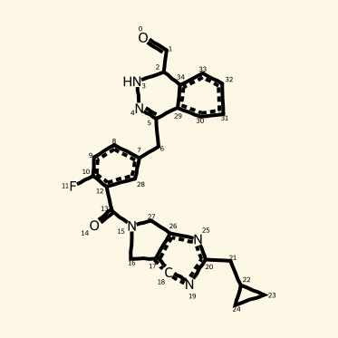 O=CC1NN=C(Cc2ccc(F)c(C(=O)N3Cc4cnc(CC5CC5)nc4C3)c2)c2ccccc21